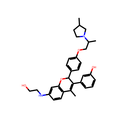 CC1=C(c2cccc(O)c2)C(c2ccc(OCC(C)N3CCC(C)C3)cc2)Oc2cc(NCCO)ccc21